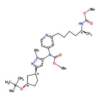 C[C@@H](CCCCc1cc(N(C(=O)OC(C)(C)C)c2cc([C@H]3CC[C@@H](O[Si](C)(C)C(C)(C)C)C3)nn2C(C)(C)C)ccn1)NC(=O)OC(C)(C)C